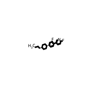 CCCC[C@H]1CC[C@H](c2ccc(-c3ccc(F)nc3)c(F)c2)CC1